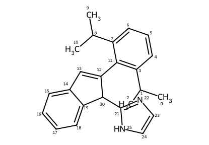 CC(C)c1cccc(C(C)C)c1C1=Cc2ccccc2C1c1ncc[nH]1